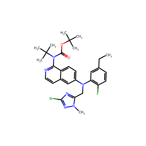 CCc1ccc(F)c(N(Cc2nc(Br)nn2C)c2ccc3c(N(C(=O)OC(C)(C)C)C(C)(C)C)nccc3c2)c1